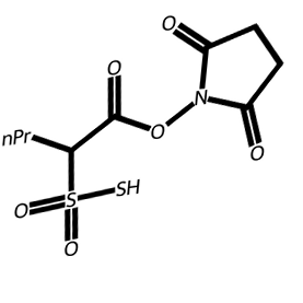 CCCC(C(=O)ON1C(=O)CCC1=O)S(=O)(=O)S